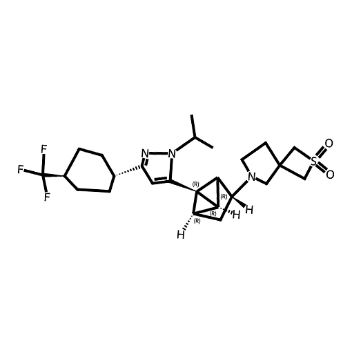 CC(C)n1nc([C@H]2CC[C@H](C(F)(F)F)CC2)cc1[C@]12C3[C@H](N4CCC5(C4)CS(=O)(=O)C5)C[C@@H]1[C@H]32